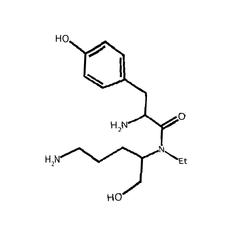 CCN(C(=O)C(N)Cc1ccc(O)cc1)C(CO)CCCN